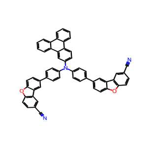 N#Cc1ccc2oc3ccc(-c4ccc(N(c5ccc(-c6ccc7oc8ccc(C#N)cc8c7c6)cc5)c5ccc6c7ccccc7c7ccccc7c6c5)cc4)cc3c2c1